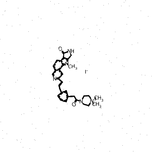 Cn1c2c(c3ccc4cnc(C=Cc5cccc(CC(=O)N6CC[N+](C)(C)CC6)c5)cc4c31)C(=O)NC2.[I-]